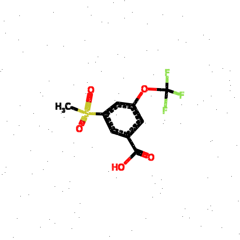 CS(=O)(=O)c1cc(OC(F)(F)F)cc(C(=O)O)c1